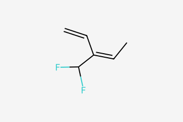 C=C/C(=C\C)C(F)F